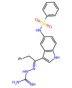 CC(C)C/C(=N\NC(=N)N)c1c[nH]c2ccc(NS(=O)(=O)c3ccccc3)cc12